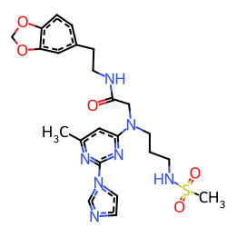 Cc1cc(N(CCCNS(C)(=O)=O)CC(=O)NCCc2ccc3c(c2)OCO3)nc(-n2ccnc2)n1